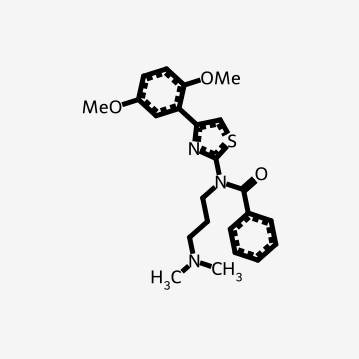 COc1ccc(OC)c(-c2csc(N(CCCN(C)C)C(=O)c3ccccc3)n2)c1